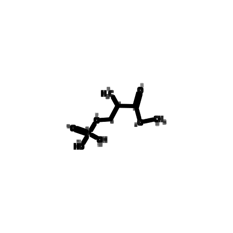 COC(=O)C(C)COP(=O)(O)O